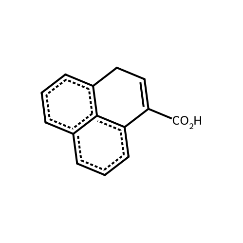 O=C(O)C1=CCc2cccc3cccc1c23